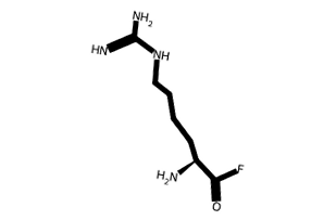 N=C(N)NCCCC[C@H](N)C(=O)F